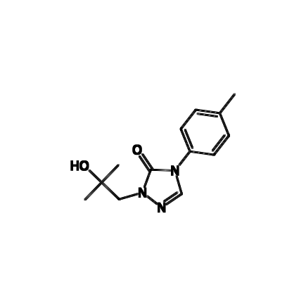 Cc1ccc(-n2cnn(CC(C)(C)O)c2=O)cc1